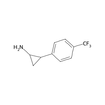 NC1CC1c1ccc(C(F)(F)F)cc1